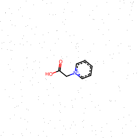 O=C(O)C[n+]1c[c]ccc1